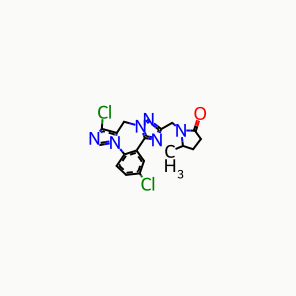 CC1CCC(=O)N1Cc1nc2n(n1)Cc1c(Cl)ncn1-c1ccc(Cl)cc1-2